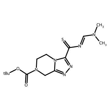 CN(C)/C=N/C(=S)c1nnc2n1CCN(C(=O)OC(C)(C)C)C2